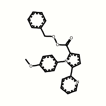 COc1ccc(-n2c(C(=O)OOCc3ccccc3)ccc2-c2ccccn2)cc1